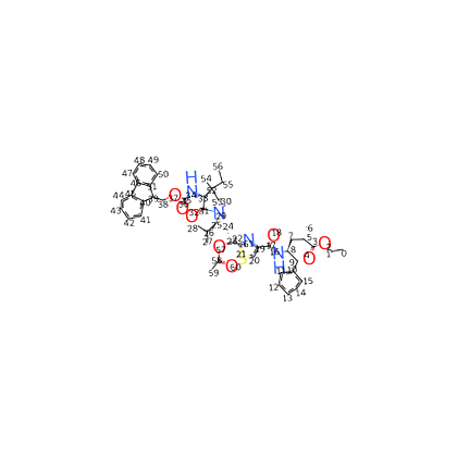 CCOC(=O)[C@@H](C)C[C@@H](Cc1ccccc1)NC(=O)c1csc([C@@H](C[C@H](C(C)C)N(C)C(=O)[C@@H](NC(=O)OCC2c3ccccc3-c3ccccc32)C(C)(C)CC)OC(C)=O)n1